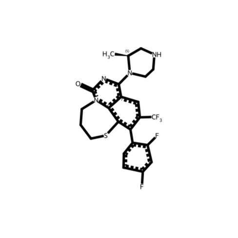 C[C@H]1CNCCN1c1nc(=O)n2c3c(c(-c4ccc(F)cc4F)c(C(F)(F)F)cc13)SCCC2